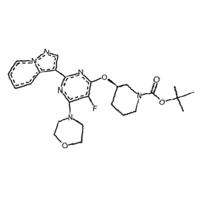 CC(C)(C)OC(=O)N1CCC[C@@H](Oc2nc(-c3cnn4ccccc34)nc(N3CCOCC3)c2F)C1